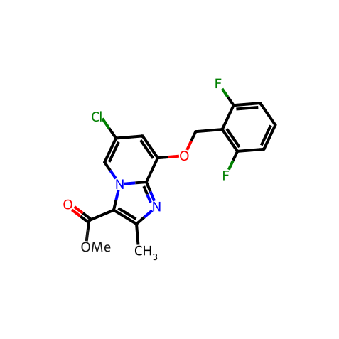 COC(=O)c1c(C)nc2c(OCc3c(F)cccc3F)cc(Cl)cn12